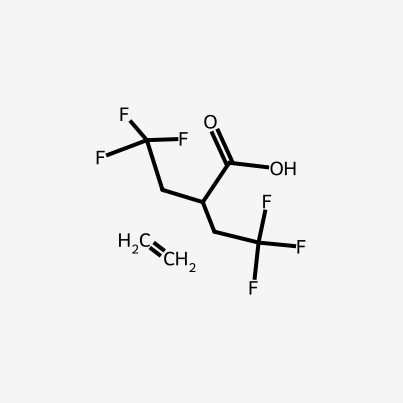 C=C.O=C(O)C(CC(F)(F)F)CC(F)(F)F